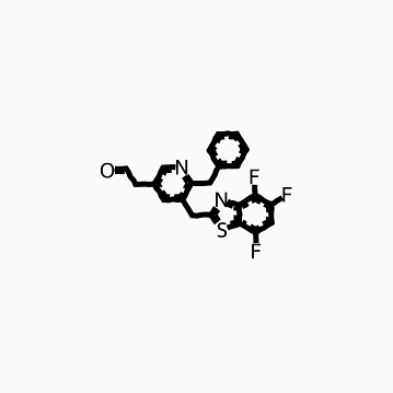 O=CCc1cnc(Cc2ccccc2)c(Cc2nc3c(F)c(F)cc(F)c3s2)c1